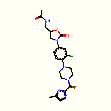 CC(=O)NCC1CN(c2ccc(N3CCN(C(=S)c4ncc(C)[nH]4)CC3)c(F)c2)C(=O)O1